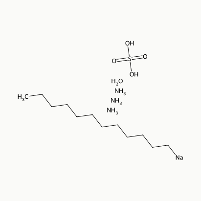 CCCCCCCCCCC[CH2][Na].N.N.N.O.O=S(=O)(O)O